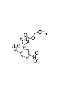 CCOC(=O)C[C@](C)(N)c1cc([N+](=O)[O-])ccc1F